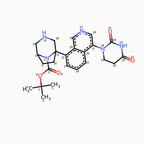 CC(C)(C)OC(=O)N1C2CCC1(c1cccc3c(N4CCC(=O)NC4=O)cncc13)CNC2